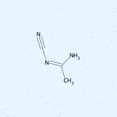 CC(N)=NC#N